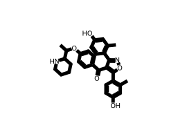 Cc1cc(O)ccc1-c1noc(-c2ccc(O)cc2C)c1C(=O)c1ccc(OC(C)C2CCCCN2)cc1